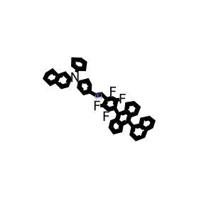 Fc1c(F)c(-c2c3ccccc3c(-c3cccc4ccccc34)c3ccccc23)c(F)c(F)c1/C=C/c1ccc(N(c2ccccc2)c2ccc3ccccc3c2)cc1